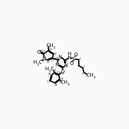 CCCCCS(=O)(=O)Nc1nc(Oc2c(C)cccc2C)nc(-c2cc(C)c(=O)n(C)c2)n1